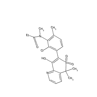 CCC(=O)N(C)c1c(C)ccc(C2=C(O)c3ncccc3C(C)(C)S2(=O)=O)c1Cl